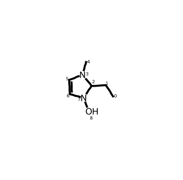 CCC1N(C)C=CN1O